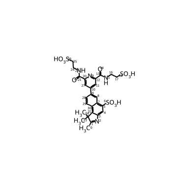 CC1=Nc2cc(S(=O)(=O)O)c3cc(-c4cc(C(=O)NCCS(=O)(=O)O)nc(C(=O)NCCS(=O)(=O)O)c4)ccc3c2C1(C)C